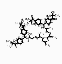 CC(COCC(C)OCC(C)OCC(C)OCC(C)NC(c1ccc(C(=O)C(C)(C)O)cc1)c1ccc(C(=O)C(C)(C)O)cc1)NC(c1ccc(C(=O)C(C)(C)O)cc1)c1ccc(C(=O)C(C)(C)O)cc1